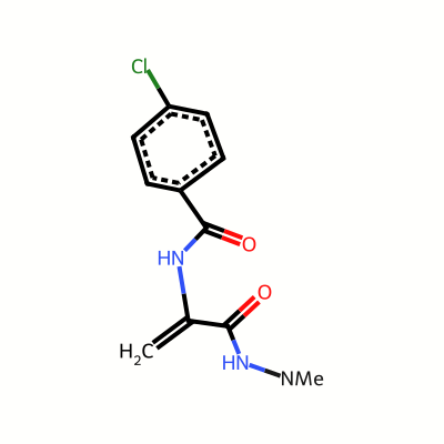 C=C(NC(=O)c1ccc(Cl)cc1)C(=O)NNC